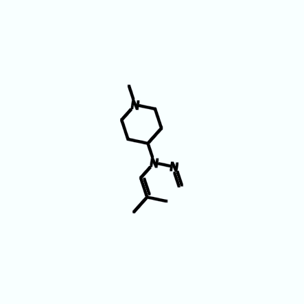 C=NN(C=C(C)C)C1CCN(C)CC1